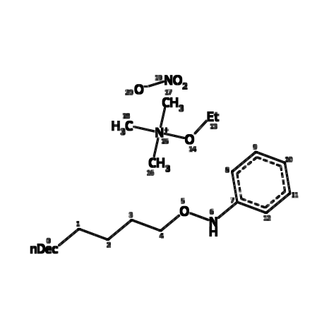 CCCCCCCCCCCCCCONc1ccccc1.CCO[N+](C)(C)C.O=[N+]([O-])[O-]